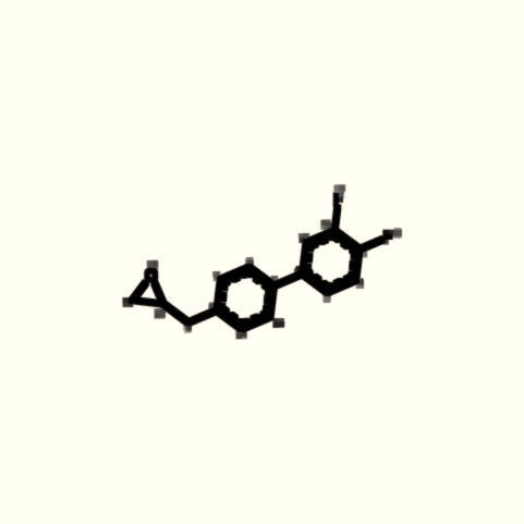 Fc1ccc(-c2ccc(CC3CO3)cc2)cc1F